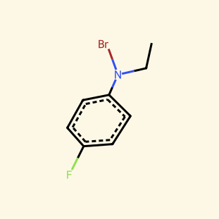 CCN(Br)c1ccc(F)cc1